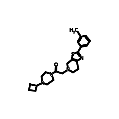 Cc1cccc(-c2nc3c(s2)CN(CC(=O)N2CCN(C4CCC4)CC2)CC3)c1